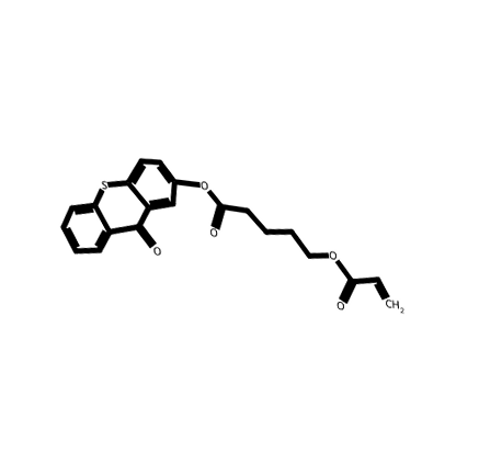 C=CC(=O)OCCCCC(=O)Oc1ccc2sc3ccccc3c(=O)c2c1